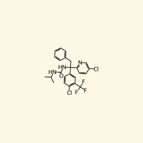 CC(C)NC(=O)NC(Cc1ccccc1)(c1ccc(Cl)c(C(F)(F)F)c1)c1ccc(Cl)cn1